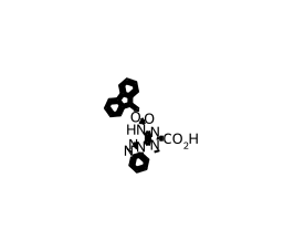 Cn1c(C(=O)O)nc(NC(=O)OCC2c3ccccc3-c3ccccc32)c1-n1nnc2ccccc21